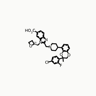 CC1(c2ccc(Cl)cc2F)COc2cccc(C3CCN(Cc4nc5ccc(C(=O)O)cc5n4C[C@@H]4CCO4)CC3)c2O1